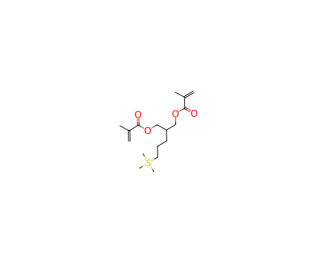 C=C(C)C(=O)OCC(CCCS(C)(C)C)COC(=O)C(=C)C